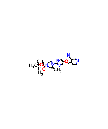 C[C@@H]1CN(C(=O)OC(C)(C)C)CCN1c1ncc(OCc2ccncc2C#N)cn1